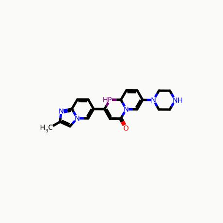 Cc1cn2cc(C3=CC(=O)N4C=C(N5CCNCC5)C=CC4P3)ccc2n1